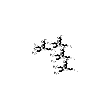 CCCCOC(CC(=O)CC(=O)[O-])(OCCCC)OCCCC.CCCCOC(CC(=O)CC(=O)[O-])(OCCCC)OCCCC.CCCCOC(CC(=O)CC(=O)[O-])(OCCCC)OCCCC.CCCCOC(CC(=O)CC(=O)[O-])(OCCCC)OCCCC.[Zr+4]